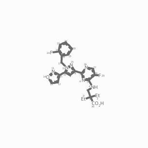 CCC(CC)(CNc1nc(-c2cc(-c3ccon3)n(Cc3ccccc3F)n2)ncc1F)C(=O)O